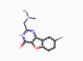 CCC(C)N(C)Cc1nc2c(oc3ccc(Br)cc32)c(=O)[nH]1